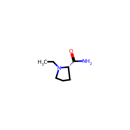 CCN1CC[CH][C@H]1C(N)=O